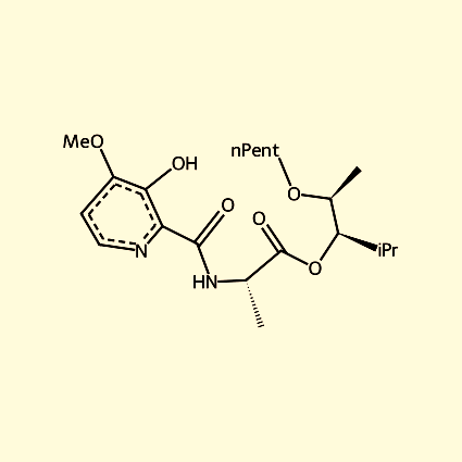 CCCCCO[C@@H](C)[C@H](OC(=O)[C@H](C)NC(=O)c1nccc(OC)c1O)C(C)C